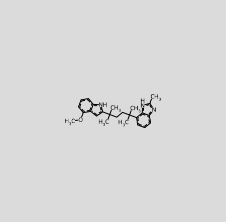 COc1cccc2[nH]c(C(C)(C)CCC(C)(C)c3cccc4nc(C)[nH]c34)cc12